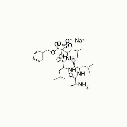 CC(C)CC(NC(=O)[C@H](CC(C)C)NC(=O)[C@H](CC(C)C)NC(=O)[C@H](C)N)C(O)(C(=O)OCc1ccccc1)S(=O)(=O)[O-].[Na+]